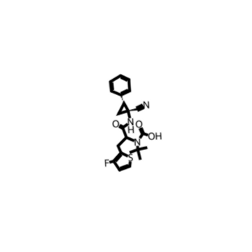 CC(C)(C)N(C(=O)O)C(Cc1sccc1F)C(=O)N[C@]1(C#N)C[C@@H]1c1ccccc1